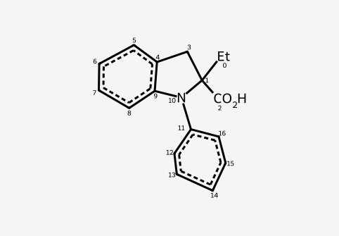 CCC1(C(=O)O)Cc2ccccc2N1c1ccccc1